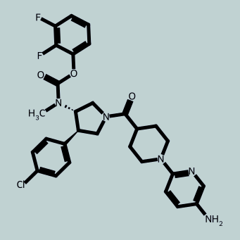 CN(C(=O)Oc1cccc(F)c1F)[C@@H]1CN(C(=O)C2CCN(c3ccc(N)cn3)CC2)C[C@H]1c1ccc(Cl)cc1